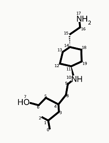 CC(C)CC(CCO)CCN[C@H]1CC[C@H](CCN)CC1